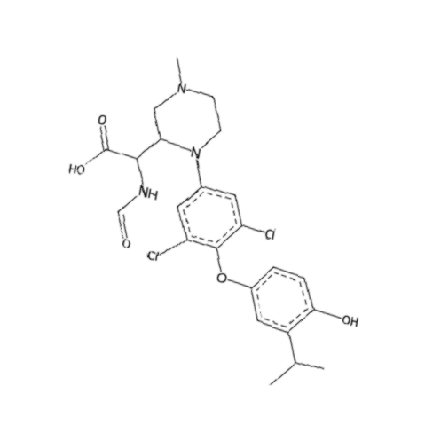 CC(C)c1cc(Oc2c(Cl)cc(N3CCN(C)CC3C(NC=O)C(=O)O)cc2Cl)ccc1O